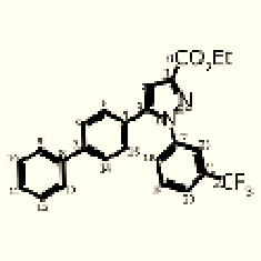 CCOC(=O)c1cc(-c2ccc(-c3ccccc3)cc2)n(-c2cccc(C(F)(F)F)c2)n1